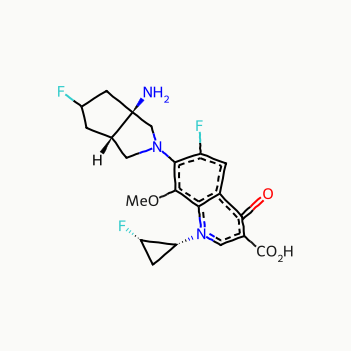 COc1c(N2C[C@@H]3CC(F)C[C@]3(N)C2)c(F)cc2c(=O)c(C(=O)O)cn([C@@H]3C[C@@H]3F)c12